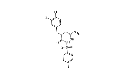 Cc1ccc(S(=O)(=O)NC(=O)C(Cc2ccc(Cl)c(Cl)c2)CN(O)C=O)nc1